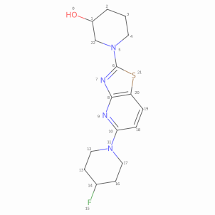 OC1CCCN(c2nc3nc(N4CCC(F)CC4)ccc3s2)C1